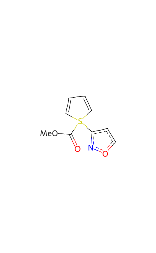 COC(=O)S1(c2ccon2)C=CC=C1